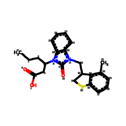 CCCC(CC(=O)O)n1c(=O)n(CC2CSc3cccc(C)c32)c2ccccc21